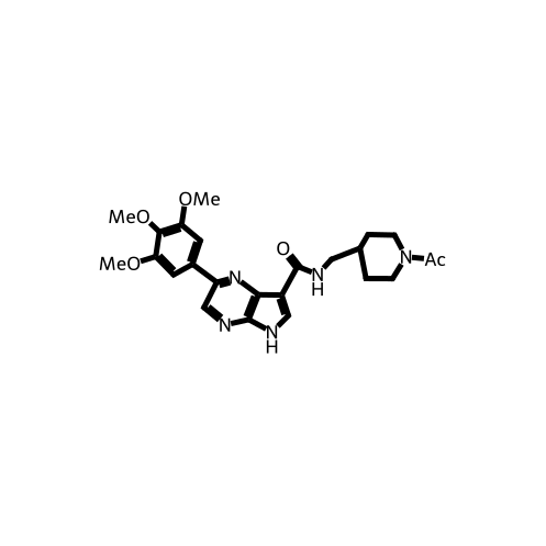 COc1cc(-c2cnc3[nH]cc(C(=O)NCC4CCN(C(C)=O)CC4)c3n2)cc(OC)c1OC